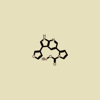 CC(C)(C)OC(=O)n1cccc1-c1cnc2[nH]cc(-c3ccoc3)c2c1